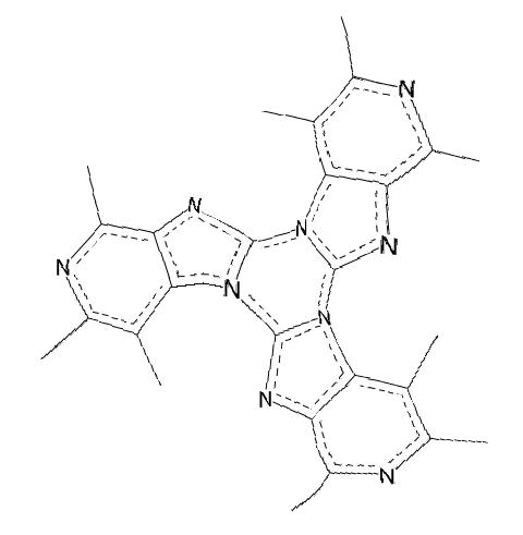 Cc1nc(C)c2nc3n(c2c1C)c1nc2c(C)nc(C)c(C)c2n1c1nc2c(C)nc(C)c(C)c2n31